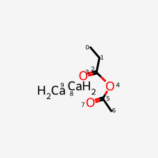 CCC(=O)OC(C)=O.[CaH2].[CaH2]